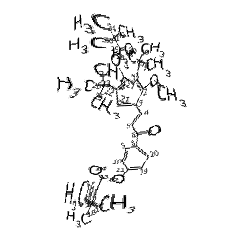 COc1c(C=CC(=O)c2ccc(OC(=O)C(C)(C)C)cc2)cc(C(C)(C)C)c(OC(=O)C(C)(C)C)c1C(C)(C)C